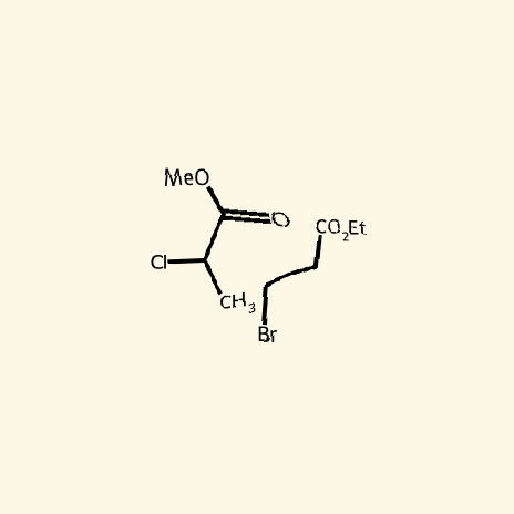 CCOC(=O)CCBr.COC(=O)C(C)Cl